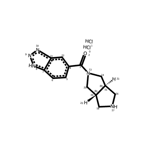 Cl.Cl.O=C(c1ccc2[nH]nnc2c1)N1C[C@H]2CNC[C@@H]2C1